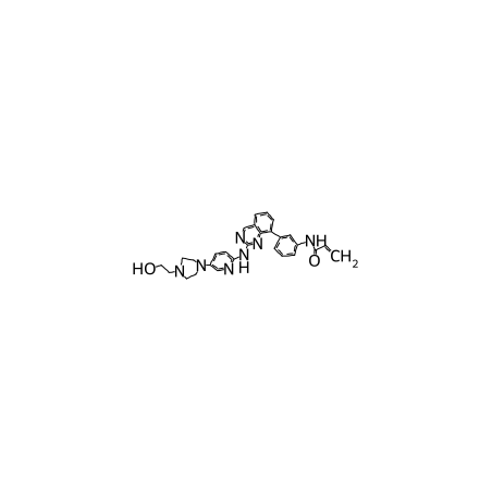 C=CC(=O)Nc1cccc(-c2cccc3cnc(Nc4ccc(N5CCN(CCO)CC5)cn4)nc23)c1